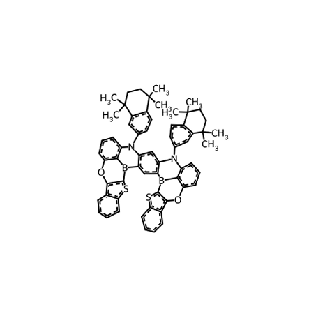 CC1(C)CCC(C)(C)c2cc(N3c4cc5c(cc4B4c6sc7ccccc7c6Oc6cccc3c64)B3c4sc6ccccc6c4Oc4cccc(c43)N5c3ccc4c(c3)C(C)(C)CCC4(C)C)ccc21